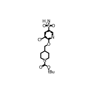 CC(C)(C)OC(=O)N1CCC(COc2ncc(S(N)(=O)=O)cc2Cl)CC1